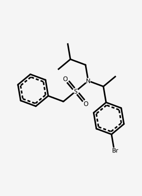 CC(C)CN(C(C)c1ccc(Br)cc1)S(=O)(=O)Cc1ccccc1